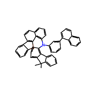 CC1(C)c2ccccc2-c2c(N(c3cccc(-c4cccc5ccccc45)c3)c3cccc4ccc5c6ccccc6sc5c34)cccc21